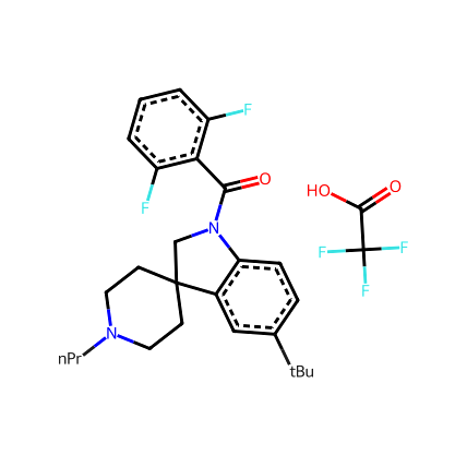 CCCN1CCC2(CC1)CN(C(=O)c1c(F)cccc1F)c1ccc(C(C)(C)C)cc12.O=C(O)C(F)(F)F